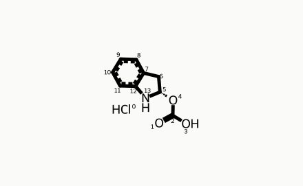 Cl.O=C(O)O[C@H]1Cc2ccccc2N1